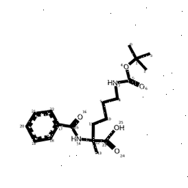 CC(C)(C)OC(=O)NCCCCC(C)(NC(=O)c1ccccc1)C(=O)O